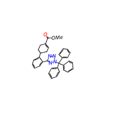 COC(=O)C1=CCC(c2ccccc2-c2nnn(C(c3ccccc3)(c3ccccc3)c3ccccc3)n2)CC1